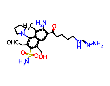 Cc1c(N)c(C(=O)CCCCNC=NN)cc2c(CO)c(S(N)(=O)=O)c(CC=O)c(N3CCCC3)c12